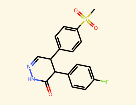 CS(=O)(=O)c1ccc(C2C=NNC(=O)C2c2ccc(F)cc2)cc1